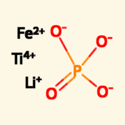 O=P([O-])([O-])[O-].[Fe+2].[Li+].[Ti+4]